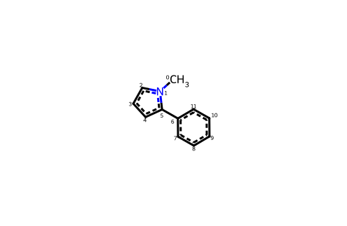 Cn1cccc1-c1ccccc1